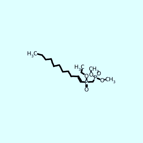 CCCCCCCCCC=CP(=O)(CP(=O)(OC)OC)OCC